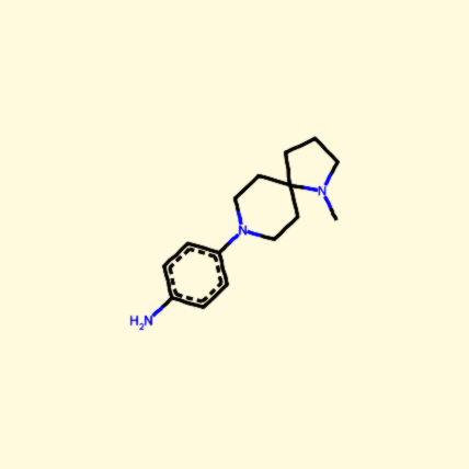 CN1CCCC12CCN(c1ccc(N)cc1)CC2